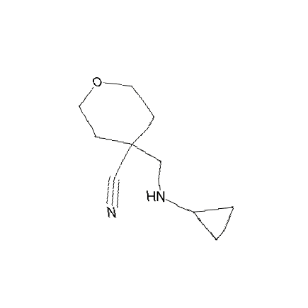 N#CC1(CNC2CC2)CCOCC1